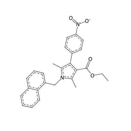 CCOC(=O)c1c(-c2ccc([N+](=O)[O-])cc2)c(C)n(Cc2cccc3ccccc23)c1C